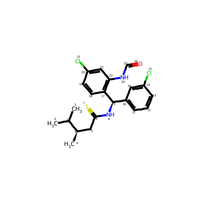 CC(C)[C@H](C)CC(=S)N[C@H](c1cccc(Cl)c1)c1ccc(Cl)cc1NC=O